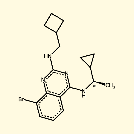 C[C@@H](Nc1nc(NCC2CCC2)nc2c(Br)cccc12)C1CC1